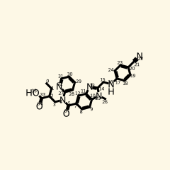 CCC(CN(C(=O)c1ccc2c(c1)nc(CNc1ccc(C#N)cc1)n2C)c1ccccn1)C(=O)O